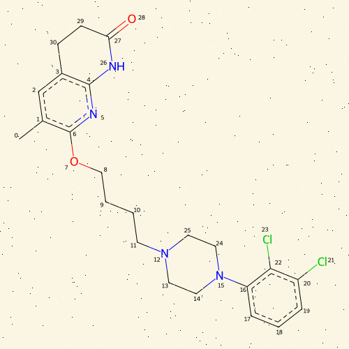 Cc1cc2c(nc1OCCCCN1CCN(c3cccc(Cl)c3Cl)CC1)NC(=O)CC2